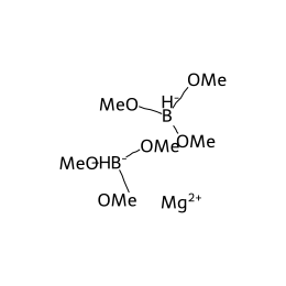 CO[BH-](OC)OC.CO[BH-](OC)OC.[Mg+2]